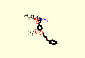 CCOC(=O)C(N)(CC)CCc1ccc(OCCCCc2ccccc2)c(OC)c1